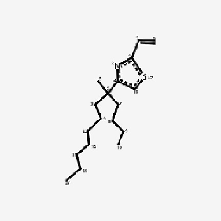 C=Cc1nc(C(C)(CCCC)CCCCCCC)cs1